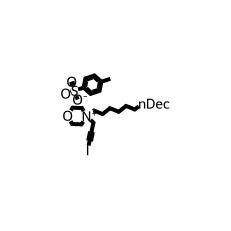 CCCCCCCCCCCCCCCC[N+]1(CC#CI)CCOCC1.Cc1ccc(S(=O)(=O)[O-])cc1